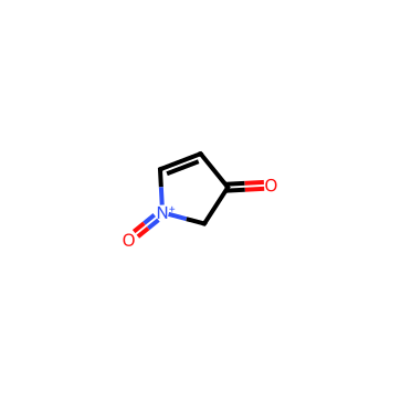 O=C1C=C[N+](=O)C1